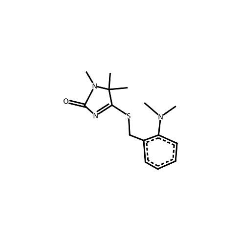 CN(C)c1ccccc1CSC1=NC(=O)N(C)C1(C)C